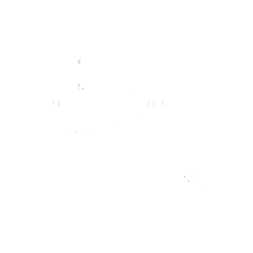 CCOC(=O)C1(c2cccc([N+](=O)[O-])c2)CCC1N(C(C)C)C(C)C.Cl